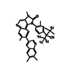 [2H]C([2H])([2H])C(C#N)(c1ccc(-n2c(=O)n(C)c3cnc4cc(C)c(-c5cnc6cc(C)c(C)cc6c5)cc4c32)c(C)c1)C([2H])(C)C